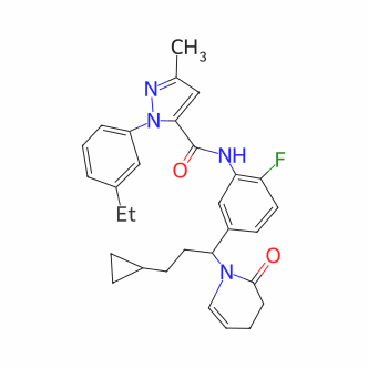 CCc1cccc(-n2nc(C)cc2C(=O)Nc2cc(C(CCC3CC3)N3C=CCCC3=O)ccc2F)c1